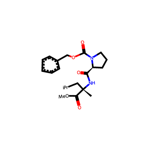 COC(=O)[C@](C)(CC(C)C)NC(=O)[C@@H]1CCCN1C(=O)OCc1ccccc1